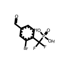 O=Cc1ccc(C(F)(F)P(=O)(O)O)c(Br)c1